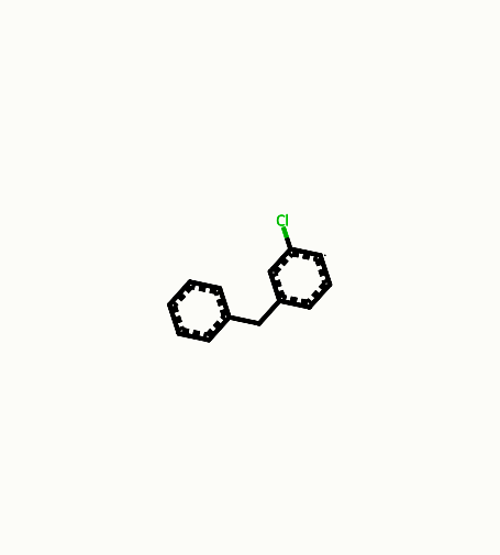 Clc1[c]ccc(Cc2ccccc2)c1